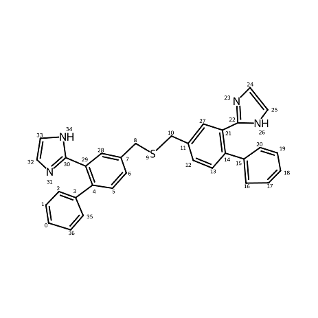 c1ccc(-c2ccc(CSCc3ccc(-c4ccccc4)c(-c4ncc[nH]4)c3)cc2-c2ncc[nH]2)cc1